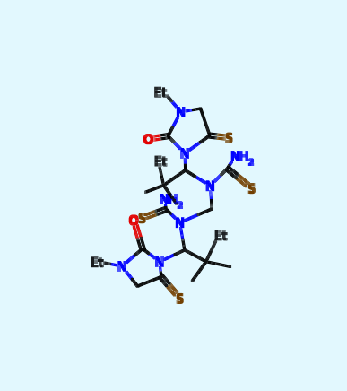 CCN1CC(=S)N(C(N(CN(C(N)=S)C(N2C(=O)N(CC)CC2=S)C(C)(C)CC)C(N)=S)C(C)(C)CC)C1=O